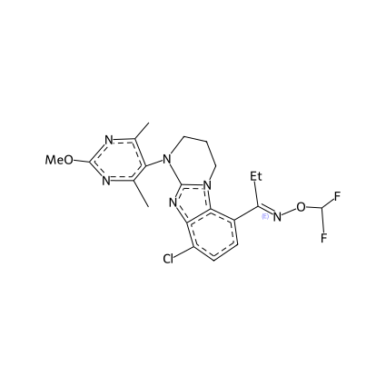 CC/C(=N\OC(F)F)c1ccc(Cl)c2nc3n(c12)CCCN3c1c(C)nc(OC)nc1C